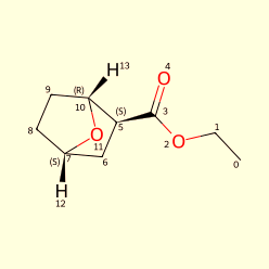 CCOC(=O)[C@H]1C[C@@H]2CC[C@H]1O2